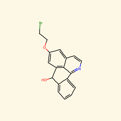 OC1c2ccccc2-c2nccc3cc(OCCBr)cc1c23